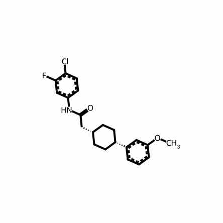 COc1cccc([C@H]2CC[C@@H](CC(=O)Nc3ccc(Cl)c(F)c3)CC2)c1